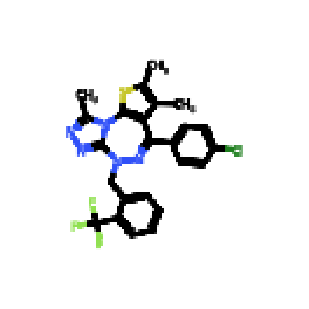 Cc1sc2c(c1C)C(c1ccc(Cl)cc1)=NN(Cc1ccccc1C(F)(F)F)c1nnc(C)n1-2